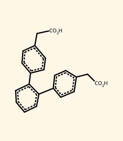 O=C(O)Cc1ccc(-c2ccccc2-c2ccc(CC(=O)O)cc2)cc1